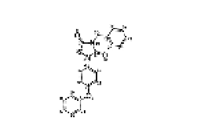 O=c1sn(-c2ccc(Oc3ccccc3)cc2)c(=O)n1Cc1ccccc1